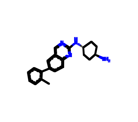 Cc1ccccc1-c1ccc2nc(N[C@H]3CC[C@H](N)CC3)ncc2c1